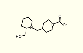 CC(C)C(=O)N1CCC(CN2CCCC[C@H]2CO)CC1